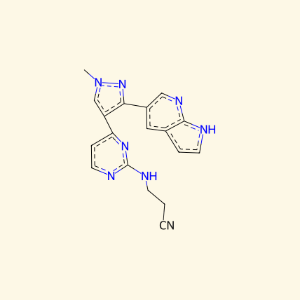 Cn1cc(-c2ccnc(NCCC#N)n2)c(-c2cnc3[nH]ccc3c2)n1